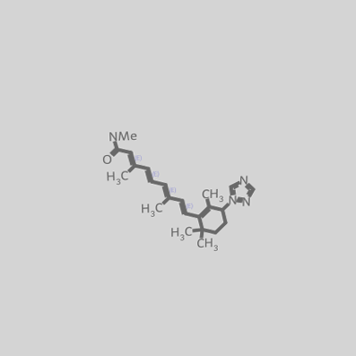 CNC(=O)/C=C(C)/C=C/C=C(C)/C=C/C1=C(C)C(n2cncn2)CCC1(C)C